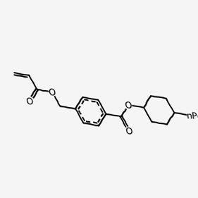 C=CC(=O)OCc1ccc(C(=O)OC2CCC(CCCCC)CC2)cc1